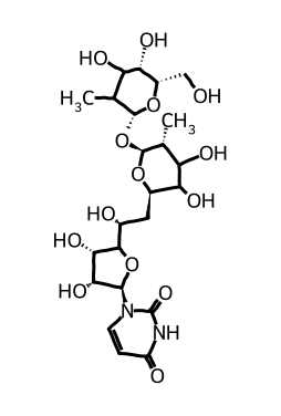 CC1C(O)[C@H](O)[C@H](CO)O[C@@H]1O[C@@H]1O[C@H](C[C@@H](O)C2O[C@@H](n3ccc(=O)[nH]c3=O)[C@H](O)[C@@H]2O)C(O)C(O)[C@H]1C